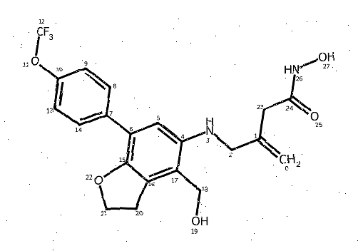 C=C(CNc1cc(-c2ccc(OC(F)(F)F)cc2)c2c(c1CO)CCO2)CC(=O)NO